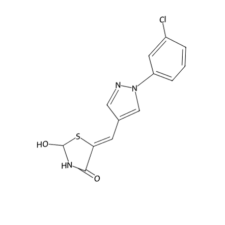 O=C1NC(O)S/C1=C\c1cnn(-c2cccc(Cl)c2)c1